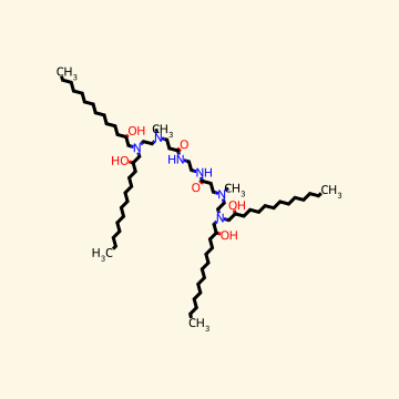 CCCCCCCCCCCCC(O)CN(CCN(C)CCC(=O)NCCNC(=O)CCN(C)CCN(CC(O)CCCCCCCCCCCC)CC(O)CCCCCCCCCCCC)CC(O)CCCCCCCCCCCC